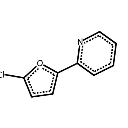 Clc1ccc(-c2ccccn2)o1